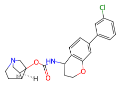 O=C(NC1CCOc2cc(-c3cccc(Cl)c3)ccc21)O[C@@H]1CN2CCC1CC2